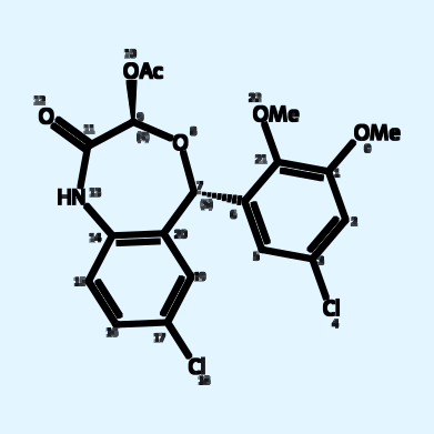 COc1cc(Cl)cc([C@H]2O[C@H](OC(C)=O)C(=O)Nc3ccc(Cl)cc32)c1OC